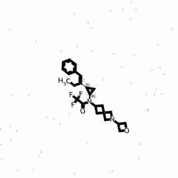 CC/C(=C\c1ccccc1)[C@@H]1C[C@H]1N(C(=O)C(F)(F)F)C1CC2(C1)CN(C1COC1)C2